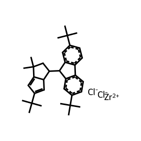 CC(C)(C)C1=CC2C(=C1)C(C)(C)CC2C1c2cc(C(C)(C)C)ccc2-c2ccc(C(C)(C)C)cc21.[Cl-].[Cl-].[Zr+2]